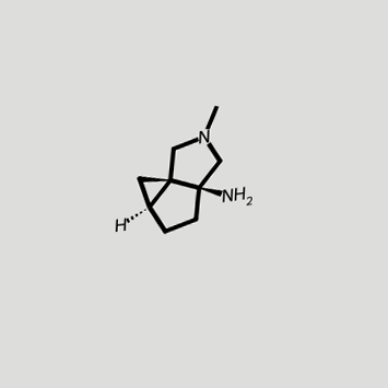 CN1C[C@]2(N)CC[C@H]3C[C@]32C1